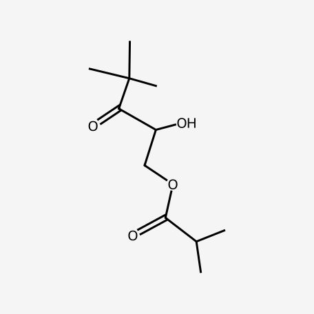 CC(C)C(=O)OCC(O)C(=O)C(C)(C)C